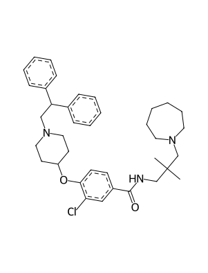 CC(C)(CNC(=O)c1ccc(OC2CCN(CC(c3ccccc3)c3ccccc3)CC2)c(Cl)c1)CN1CCCCCC1